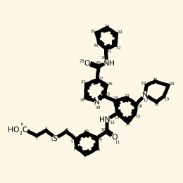 O=C(O)CCSCc1cccc(C(=O)Nc2ccc(N3CCCCC3)cc2-c2cc(C(=O)Nc3ccccc3)ccn2)c1